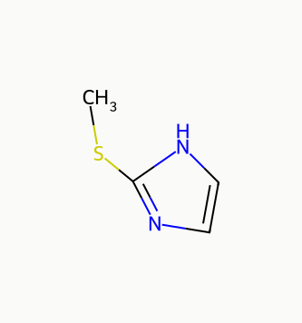 CSc1ncc[nH]1